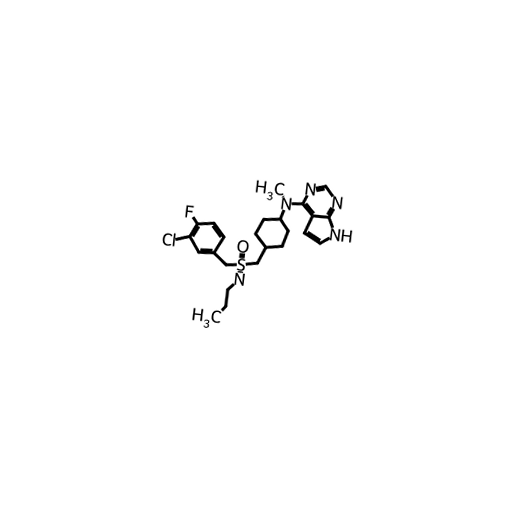 CCCN=S(=O)(Cc1ccc(F)c(Cl)c1)CC1CCC(N(C)c2ncnc3[nH]ccc23)CC1